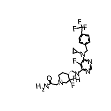 NC(=O)CN1CC[C@H](CNc2ncnc(N(Cc3ccc(C(F)(F)F)cc3)C3CC3)c2F)C(F)(F)C1